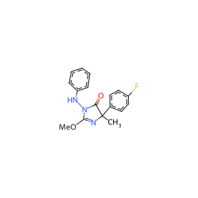 COC1=NC(C)(c2ccc(F)cc2)C(=O)N1Nc1ccccc1